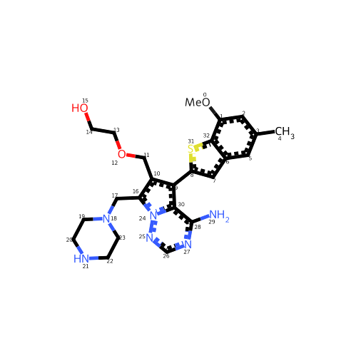 COc1cc(C)cc2cc(-c3c(COCCO)c(CN4CCNCC4)n4ncnc(N)c34)sc12